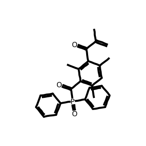 C=C(C)C(=O)c1c(C)cc(C)c(C(=O)P(=O)(c2ccccc2)c2ccccc2)c1C